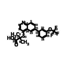 CC(C)(Sc1ccnc2ccc(-c3cccc(OC(F)(F)F)c3)cc12)C(=O)O